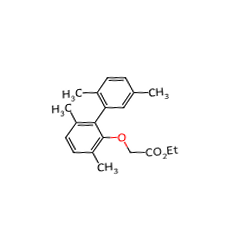 CCOC(=O)COc1c(C)ccc(C)c1-c1cc(C)ccc1C